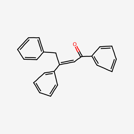 O=C(/C=C(\Cc1ccccc1)c1ccccc1)c1ccccc1